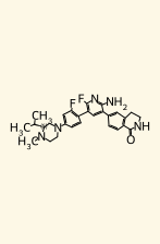 CC(C)[C@H]1CN(c2ccc(-c3cc(-c4ccc5c(c4)CCNC5=O)c(N)nc3F)c(F)c2)CCN1C